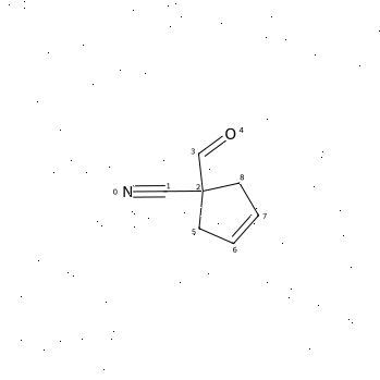 N#CC1(C=O)CC=CC1